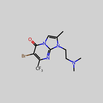 Cc1cn2c(=O)c(Br)c(C(F)(F)F)nc2n1CCN(C)C